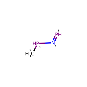 CPN=P